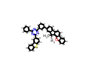 CC1(C)c2cc(-c3cccc(-c4nc(-c5ccccc5)nc(-c5ccc6sc7ccccc7c6c5)n4)c3)ccc2-c2ccc3c(oc4ccccc43)c21